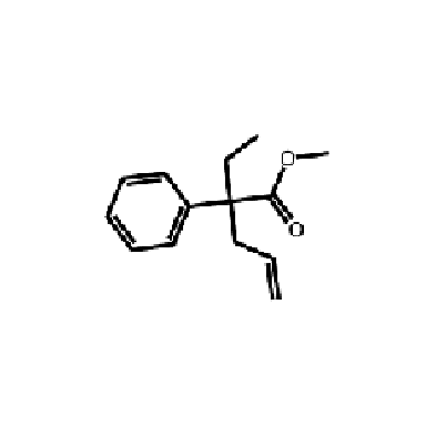 C=CCC(CC)(C(=O)OC)c1ccccc1